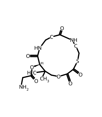 CC1(C)COC(=O)C(=O)SCCNC(=O)CCNC(=O)[C@@H]1OC(=O)CN